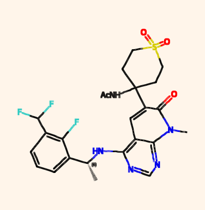 CC(=O)NC1(c2cc3c(N[C@H](C)c4cccc(C(F)F)c4F)ncnc3n(C)c2=O)CCS(=O)(=O)CC1